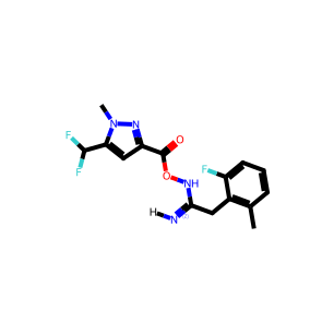 [H]/N=C(/Cc1c(C)cccc1F)NOC(=O)c1cc(C(F)F)n(C)n1